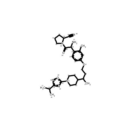 Cc1cc(OCCC(C)C2CCN(c3nc(C(C)C)no3)CC2)ccc1C(N)C(=O)N1CCCC1C#N